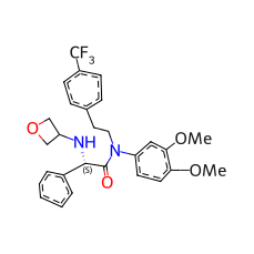 COc1ccc(N(CCc2ccc(C(F)(F)F)cc2)C(=O)[C@@H](NC2COC2)c2ccccc2)cc1OC